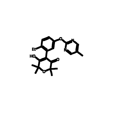 CCc1ccc(Oc2ncc(C)cn2)cc1C1=C(O)C(C)(C)OC(C)(C)C1=O